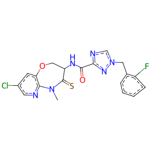 CN1C(=S)C(NC(=O)c2ncn(Cc3ccccc3F)n2)COc2cc(Cl)cnc21